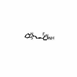 CNc1ccc(C#C/C=C/c2nc3ccccc3s2)c(F)n1